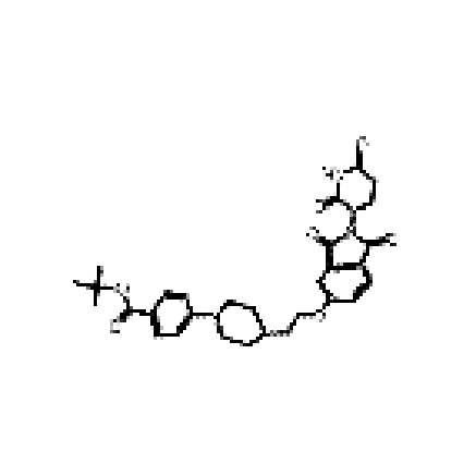 CC(C)(C)OC(=O)c1ccc(N2CCC(CCOc3ccc4c(c3)C(=O)N(C3CCC(=O)NC3=O)C4=O)CC2)cc1